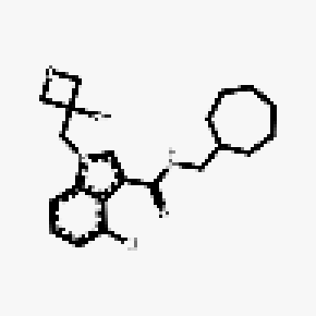 O=C(NCC1CCCCCC1)c1cn(CC2(O)COC2)c2cccc(Cl)c12